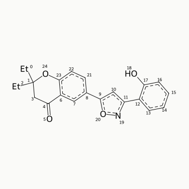 CCC1(CC)CC(=O)c2cc(-c3cc(-c4ccccc4O)no3)ccc2O1